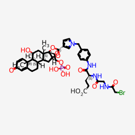 C[C@]12C=CC(=O)C=C1CC[C@@H]1[C@@H]2[C@@H](O)C[C@@]2(C)[C@H]1C[C@H]1O[C@@H](c3ccn(Cc4ccc(NC(=O)[C@H](CCC(=O)O)NC(=O)CNC(=O)CBr)cc4)c3)O[C@]12C(=O)COP(=O)(O)O